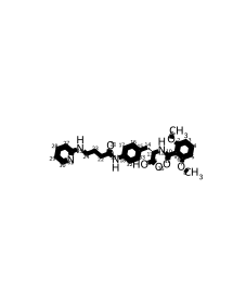 COc1cccc(OC)c1C(=O)N[C@@H](Cc1ccc(NC(=O)CCCNc2ccccn2)cc1)C(=O)O